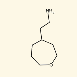 NCCC1CCCOCC1